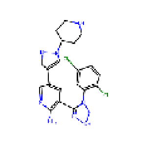 Nc1ncc(-c2cnn(C3CCNCC3)c2)cc1C1=NNNN1c1cc(Cl)ccc1Cl